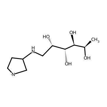 C[C@@H](O)[C@H](O)[C@H](O)[C@@H](O)CNC1CC[N]C1